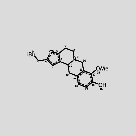 CCC(C)Cc1cc2c(s1)CCN1Cc3c(ccc(O)c3OC)CC21